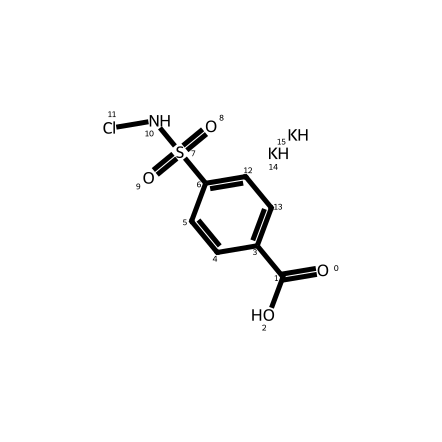 O=C(O)c1ccc(S(=O)(=O)NCl)cc1.[KH].[KH]